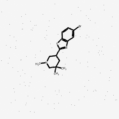 CN1CC(c2nc3cc(Br)ccc3s2)CC(C)(C)C1